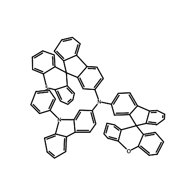 c1ccc(-n2c3ccccc3c3ccc(N(c4ccc5c(c4)C4(c6ccccc6Oc6ccccc64)c4ccccc4-5)c4ccc5c(c4)C4(c6ccccc6Sc6ccccc64)c4ccccc4-5)cc32)cc1